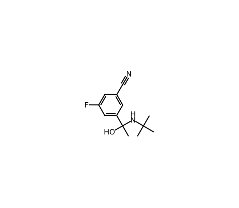 CC(C)(C)NC(C)(O)c1cc(F)cc(C#N)c1